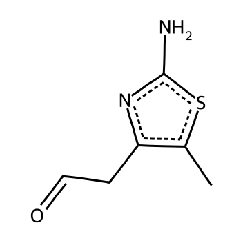 Cc1sc(N)nc1CC=O